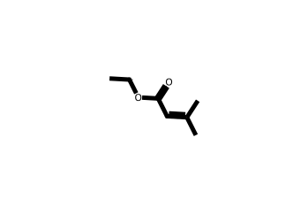 C[CH]OC(=O)C=C(C)C